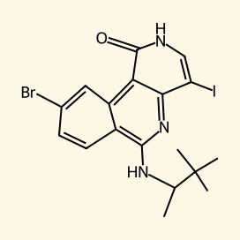 CC(Nc1nc2c(I)c[nH]c(=O)c2c2cc(Br)ccc12)C(C)(C)C